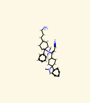 CN(C)C1(c2ccccc2)CCC(C(=CC#N)[N+](C)(C)C2(c3ccccc3)CCC(CCCN)CC2)CC1